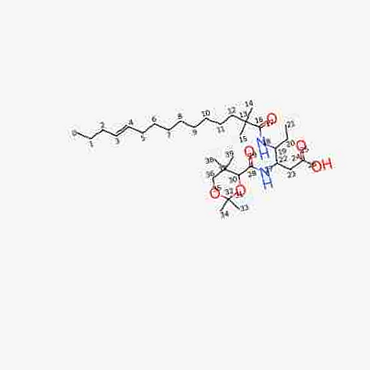 CCC/C=C/CCCCCCCCC(C)(C)C(=O)NC(CC)C(CC(=O)O)NC(=O)C1OC(C)(C)OCC1(C)C